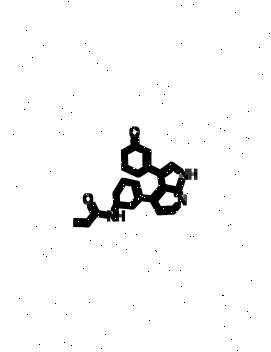 C=CC(=O)NC1CCC=C(c2ccnc3[nH]cc(C4=CC(=O)CCC4)c23)C1